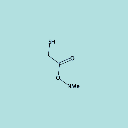 CNOC(=O)CS